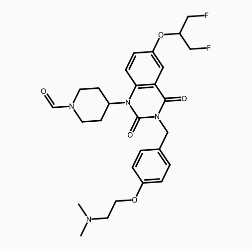 CN(C)CCOc1ccc(Cn2c(=O)c3cc(OC(CF)CF)ccc3n(C3CCN(C=O)CC3)c2=O)cc1